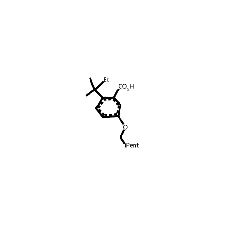 CCCC(C)COc1ccc(C(C)(C)CC)c(C(=O)O)c1